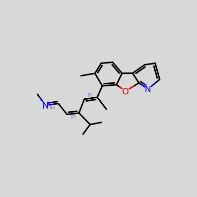 C/N=C/C=C(\C=C(/C)c1c(C)ccc2c1oc1ncccc12)C(C)C